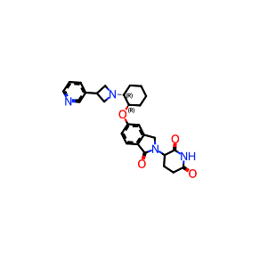 O=C1CCC(N2Cc3cc(O[C@@H]4CCCC[C@H]4N4CC(c5cccnc5)C4)ccc3C2=O)C(=O)N1